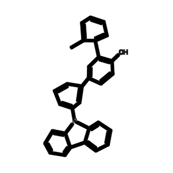 Cc1ccccc1-c1cc(-c2cccc(-n3c4ccccc4c4ccccc43)c2)ccc1O